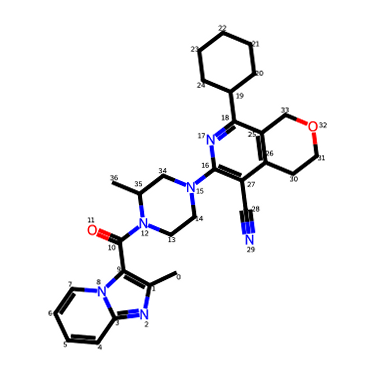 Cc1nc2ccccn2c1C(=O)N1CCN(c2nc(C3CCCCC3)c3c(c2C#N)CCOC3)CC1C